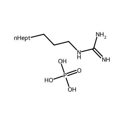 CCCCCCCCCCNC(=N)N.O=P(O)(O)O